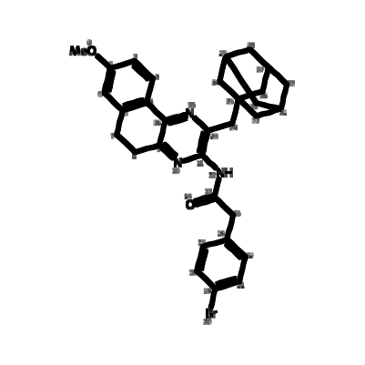 COc1ccc2c(c1)CCc1nc(NC(=O)Cc3ccc(Br)cc3)c(CC34CC5CC(CC(C5)C3)C4)nc1-2